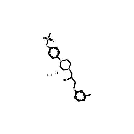 Cc1cccc(OCC(O)CN2CCN(c3ccc(NS(C)(=O)=O)cc3)CC2)c1.Cl.Cl